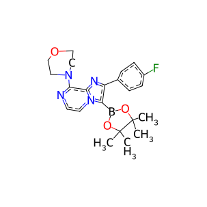 CC1(C)OB(c2c(-c3ccc(F)cc3)nc3c(N4CCOCC4)nccn23)OC1(C)C